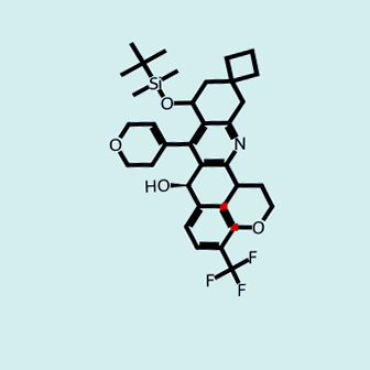 CC(C)(C)[Si](C)(C)OC1CC2(CCC2)Cc2nc(C3CCOCC3)c([C@H](O)c3ccc(C(F)(F)F)cc3)c(C3=CCOCC3)c21